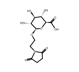 O=C(O)[C@H]1O[C@@H](OCCN2C(=O)CCC2=O)[C@H](O)[C@@H](O)[C@@H]1O